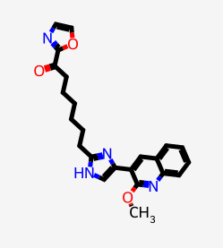 COc1nc2ccccc2cc1-c1c[nH]c(CCCCCCC(=O)c2ncco2)n1